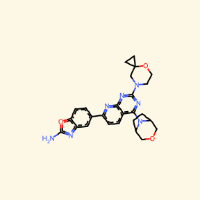 Nc1nc2cc(-c3ccc4c(N5C6CCC5COC6)nc(N5CCOC6(CC6)C5)nc4n3)ccc2o1